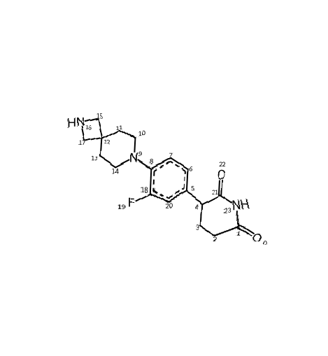 O=C1CCC(c2ccc(N3CCC4(CC3)CNC4)c(F)c2)C(=O)N1